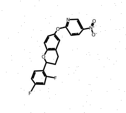 O=[N+]([O-])c1ccc(Oc2ccc3c(c2)CCC(c2ccc(F)cc2F)O3)nc1